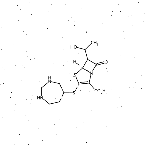 CC(O)C1C(=O)N2C(C(=O)O)=C(SC3CCNCNC3)S[C@@H]12